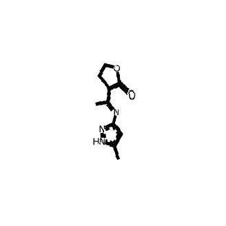 C/C(=N\c1cc(C)[nH]n1)C1CCOC1=O